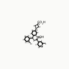 Cc1cc(C(C[C@H](c2ccc(N3CC(C(=O)O)C3)cc2)c2ccccc2C)=NO)ccn1